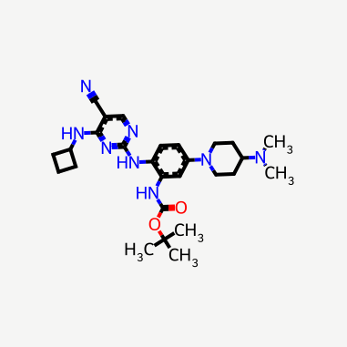 CN(C)C1CCN(c2ccc(Nc3ncc(C#N)c(NC4CCC4)n3)c(NC(=O)OC(C)(C)C)c2)CC1